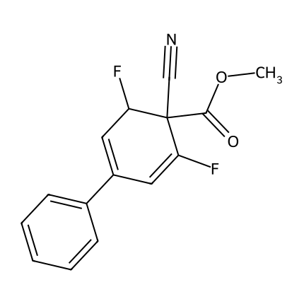 COC(=O)C1(C#N)C(F)=CC(c2ccccc2)=CC1F